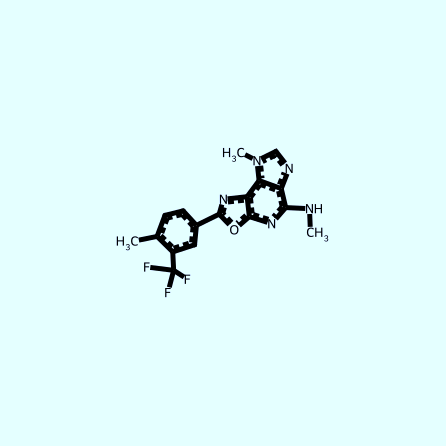 CNc1nc2oc(-c3ccc(C)c(C(F)(F)F)c3)nc2c2c1ncn2C